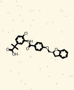 CC(C)(C(=O)O)c1ccc(Cl)c(NC(=O)c2ccc(OC[C@@H]3Cc4ccccc4O3)cc2)c1